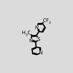 Cc1nc(-c2cccnc2)sc1-c1ccc(C(F)(F)F)cn1